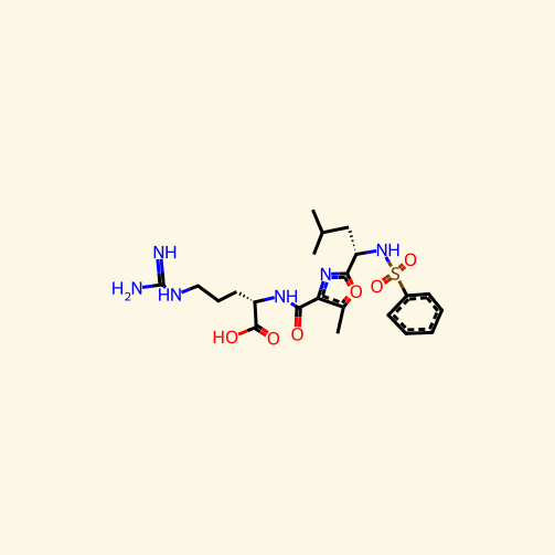 Cc1oc([C@H](CC(C)C)NS(=O)(=O)c2ccccc2)nc1C(=O)N[C@@H](CCCNC(=N)N)C(=O)O